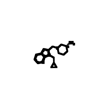 N[C@@H]1CCCN(Cc2cc3cccnc3n2CC2CC2)C1